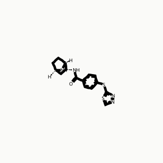 O=C(N[C@@H]1C[C@H]2CC[C@@H]1N2)c1ccc(Sc2nncs2)cc1